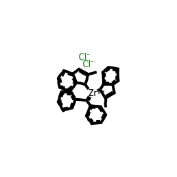 CC1=Cc2ccccc2[CH]1[Zr+2](=[C](c1ccccc1)c1ccccc1)[CH]1C(C)=Cc2ccccc21.[Cl-].[Cl-]